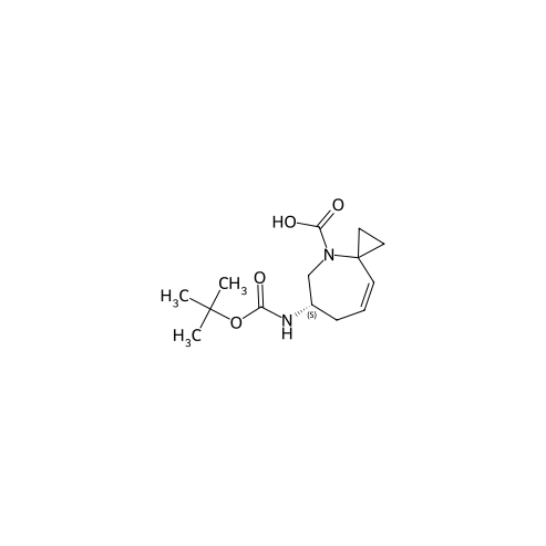 CC(C)(C)OC(=O)N[C@H]1CC=CC2(CC2)N(C(=O)O)C1